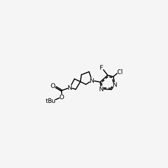 CC(C)(C)OC(=O)N1CC2(CCN(c3ncnc(Cl)c3F)C2)C1